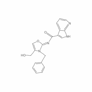 O=C(/N=c1\occ(CO)n1Cc1ccccc1)c1c[nH]c2ncccc12